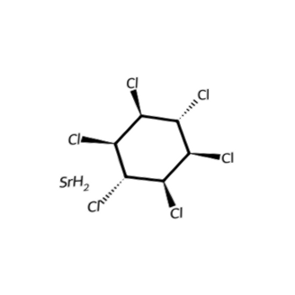 Cl[C@H]1[C@H](Cl)[C@@H](Cl)[C@@H](Cl)[C@H](Cl)[C@H]1Cl.[SrH2]